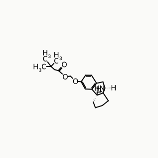 CC(C)(C)CC(=O)OCOc1ccc2c(c1)[C@]13CCCC[C@@H]1[C@H](C2)NCC3